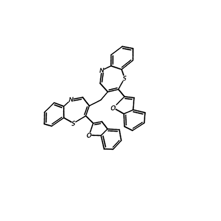 C1=Nc2ccccc2SC(c2cc3ccccc3o2)=C1CC1=C(c2cc3ccccc3o2)Sc2ccccc2N=C1